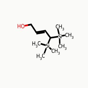 C[Si](C)(C)C(C=CCO)[Si](C)(C)C